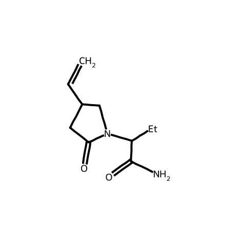 C=CC1CC(=O)N(C(CC)C(N)=O)C1